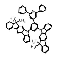 CC1(C)c2ccccc2-c2cc3c4ccccc4n(-c4cc(-c5cc(-c6ccccc6)nc(-c6ccccc6)n5)cc(-n5c6ccccc6c6cc7c(cc65)C(C)(C)C5CC=CC=C75)c4)c3cc21